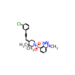 Cn1nnc2c(S(=O)(=O)N3CC/C(=C\C#Cc4cccc(Cl)c4)C(C)(C)C3)cccc21